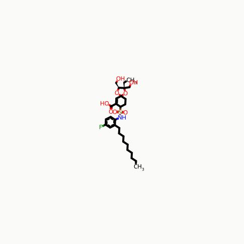 CCCCCCCCCCc1cc(F)ccc1NS(=O)(=O)C1CCC2(C=C1C(=O)O)O[C@@H](CO)[C@](CC)(CO)O2